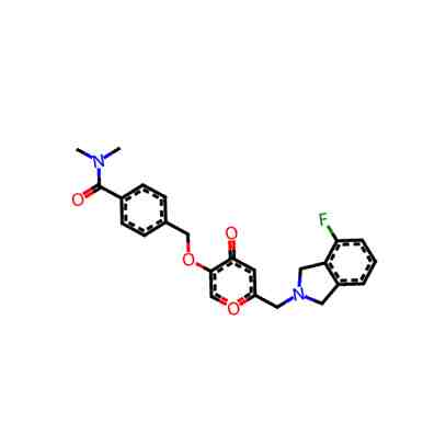 CN(C)C(=O)c1ccc(COc2coc(CN3Cc4cccc(F)c4C3)cc2=O)cc1